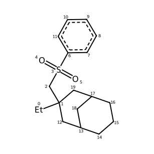 CCC1(CS(=O)(=O)c2ccccc2)CC2CCCC(C2)C1